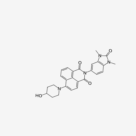 Cn1c(=O)n(C)c2cc(N3C(=O)c4cccc5c(N6CCC(O)CC6)ccc(c45)C3=O)ccc21